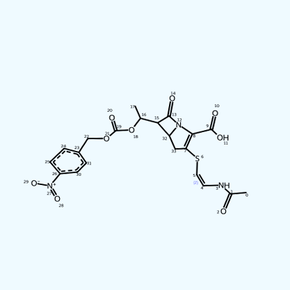 CC(=O)N/C=C\SC1=C(C(=O)O)N2C(=O)C(C(C)OC(=O)OCc3ccc([N+](=O)[O-])cc3)C2C1